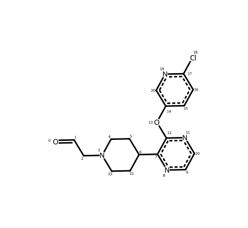 O=CCN1CCC(c2nccnc2Oc2ccc(Cl)nc2)CC1